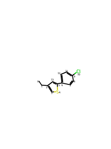 CCc1csc(-c2ccc(Cl)cc2)c1